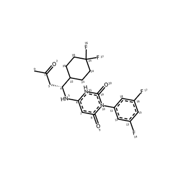 CC(=O)C[C@@H](Nc1cc(=O)n(-c2cc(F)cc(F)c2)c(=O)[nH]1)C1CCC(F)(F)CC1